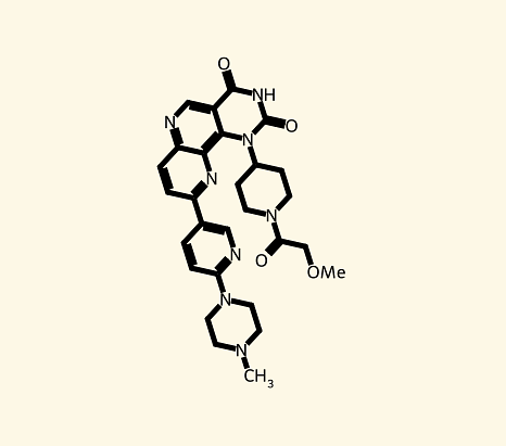 COCC(=O)N1CCC(n2c(=O)[nH]c(=O)c3cnc4ccc(-c5ccc(N6CCN(C)CC6)nc5)nc4c32)CC1